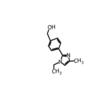 CCn1cc(C)nc1-c1ccc(CO)cc1